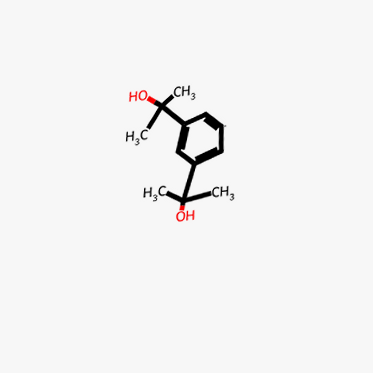 CC(C)(O)c1c[c]cc(C(C)(C)O)c1